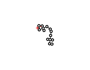 c1cc(-c2ccc3ccc(-c4ccc(-c5c6ccccc6c(-c6cccc7ccccc67)c6ccccc56)cc4)cc3c2)cc(-c2c3ccccc3c(-c3cccc4oc5ccccc5c34)c3ccccc23)c1